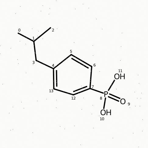 CC(C)Cc1ccc(P(=O)(O)O)cc1